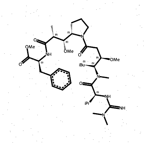 CC[C@H](C)[C@@H]([C@@H](CC(=O)N1CCC[C@H]1[C@H](OC)[C@@H](C)C(=O)N[C@@H](Cc1ccccc1)C(=O)OC)OC)N(C)C(=O)[C@@H](NC(=N)N(C)C)C(C)C